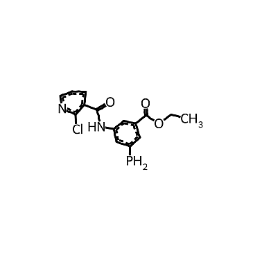 CCOC(=O)c1cc(P)cc(NC(=O)c2cccnc2Cl)c1